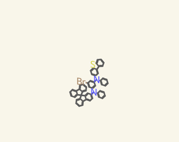 Brc1cc(N(c2ccccc2)c2ccc3c(c2)C2(c4ccccc4-c4ccccc42)c2ccccc2-3)cc(N(c2ccccc2)c2ccc3sc4ccccc4c3c2)c1